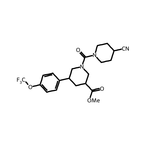 COC(=O)C1CC(c2ccc(OC(F)(F)F)cc2)CN(C(=O)N2CCC(C#N)CC2)C1